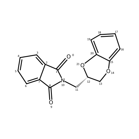 O=C1c2ccccc2C(=O)N1C[C@H]1COc2ccccc2O1